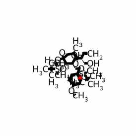 C=C[C@H](CO)[C@H](O)[C@H](CO[Si](C)(C)C(C)(C)C)[C@H](O[Si](C)(C)C(C)(C)C)C1(C)O[C@@H]1[C@@H](C)COCc1ccc(OC)cc1